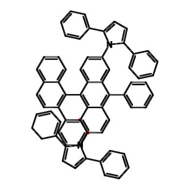 C1=CCCC(c2ccc(-c3ccccc3)n2-c2ccc3c(-c4ccccc4)c4cc(-n5c(-c6ccccc6)ccc5-c5ccccc5)ccc4c(-c4c(-c5ccccc5)ccc5ccccc45)c3c2)=C1